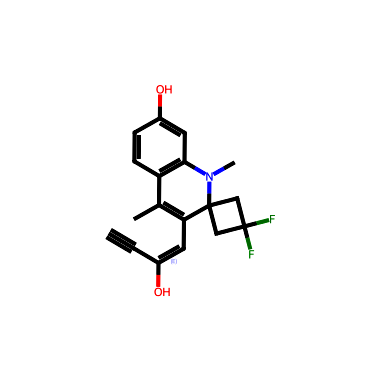 C#C/C(O)=C\C1=C(C)c2ccc(O)cc2N(C)C12CC(F)(F)C2